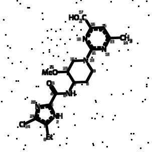 CCc1[nH]c(C(=O)NC2CCN(c3nc(C)cc(C(=O)O)n3)CC2OC)nc1Cl